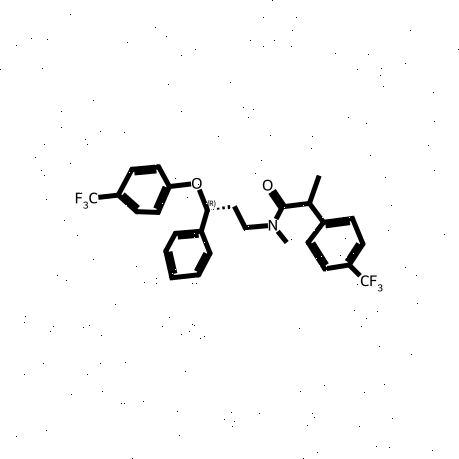 CC(C(=O)N(C)CC[C@@H](Oc1ccc(C(F)(F)F)cc1)c1ccccc1)c1ccc(C(F)(F)F)cc1